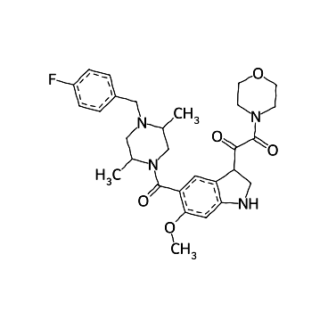 COc1cc2c(cc1C(=O)N1CC(C)N(Cc3ccc(F)cc3)CC1C)C(C(=O)C(=O)N1CCOCC1)CN2